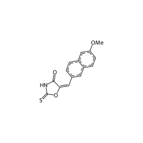 COc1ccc2cc(C=C3OC(=S)NC3=O)ccc2c1